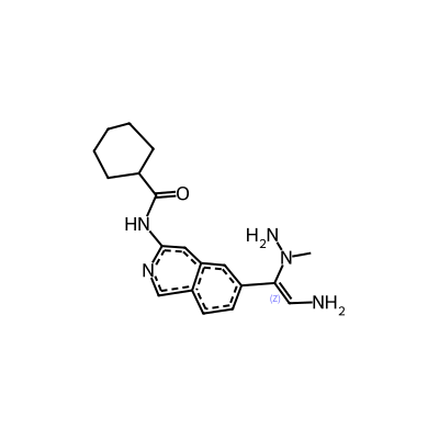 CN(N)/C(=C\N)c1ccc2cnc(NC(=O)C3CCCCC3)cc2c1